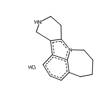 Cl.c1cc2c3c(c1)c1c(n3CCCC2)CCNC1